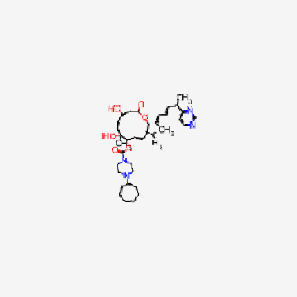 C/C(=C\C=C\C(C)c1ccncn1)[C@H]1OC(=O)C[C@H](O)CC[C@@](C)(O)[C@@H](OC(=O)N2CCN(C3CCCCCC3)CC2)/C=C/[C@@H]1C